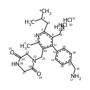 Cc1nc(CC(C)C)c(CN)c(-c2ccc(CN)cc2)c1CN1CC(=O)NCC1=O.Cl.Cl